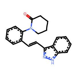 O=C1CCCCN1c1ccccc1/C=C/c1n[nH]c2ccccc12